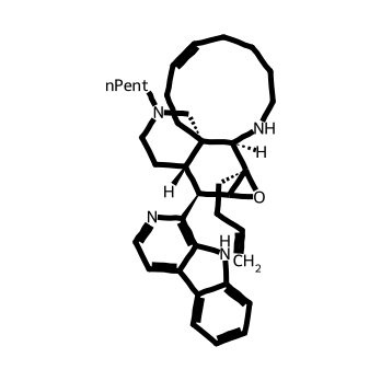 C=CCC[C@]12OC1[C@@H](c1nccc3c1[nH]c1ccccc13)[C@@H]1CCN(CCCCC)C[C@@]13CC/C=C\CCCCN[C@H]32